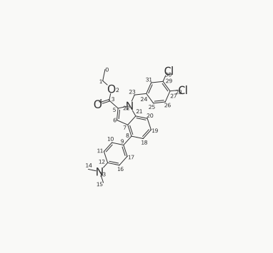 CCOC(=O)c1cc2c(-c3ccc(N(C)C)cc3)cccc2n1Cc1ccc(Cl)c(Cl)c1